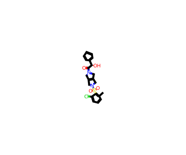 Cc1cccc(Cl)c1S(=O)(=O)N1CC2=C(CN(C(=O)[C@@H](O)c3ccccc3)C2)C1